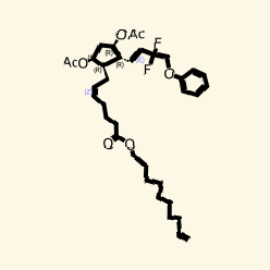 C=CCCCCCCCCOC(=O)CCC/C=C\C[C@@H]1[C@@H](/C=C/C(F)(F)COc2ccccc2)[C@H](OC(C)=O)C[C@@H]1OC(C)=O